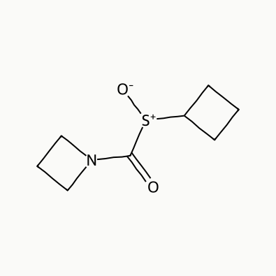 O=C(N1CCC1)[S+]([O-])C1CCC1